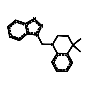 CC1(C)CCN(Cn2nnc3ccccc32)c2ccccc21